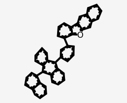 c1cc(-c2c3ccccc3c(-c3cccc4ccccc34)c3ccccc23)cc(-c2cccc3c2oc2cc4ccccc4cc23)c1